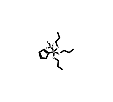 CCC[O][Zr]([O]CCC)([O]CCC)([C]1=CC=CC1)[Ge]([F])([F])[F]